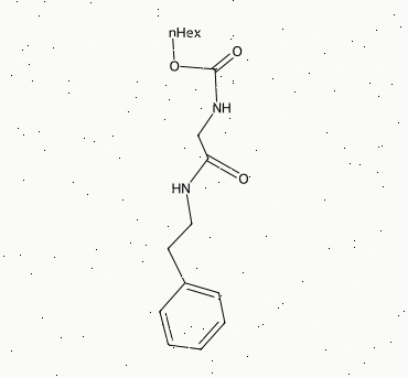 CCCCCCOC(=O)NCC(=O)NCCc1ccccc1